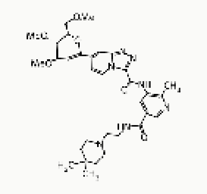 COC[C@H]1OC(c2ccn3c(C(=O)Nc4cc(C(=O)NCCN5CCC(C)(C)CC5)cnc4C)nnc3c2)=C[C@@H](OC)[C@@H]1OC